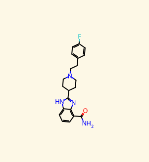 NC(=O)c1cccc2[nH]c(C3CCN(CCc4ccc(F)cc4)CC3)nc12